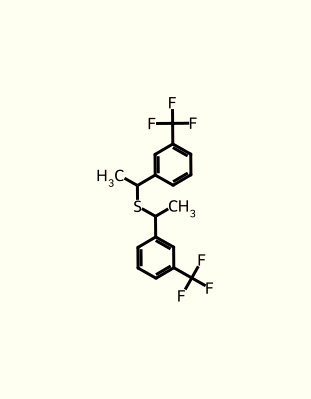 CC(SC(C)c1cccc(C(F)(F)F)c1)c1cccc(C(F)(F)F)c1